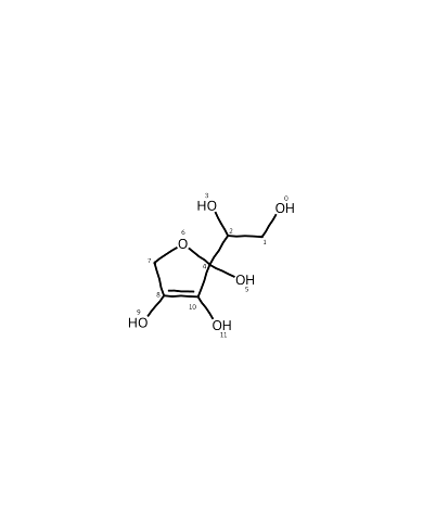 OCC(O)C1(O)OCC(O)=C1O